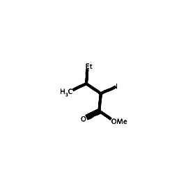 CCC(C)C(I)C(=O)OC